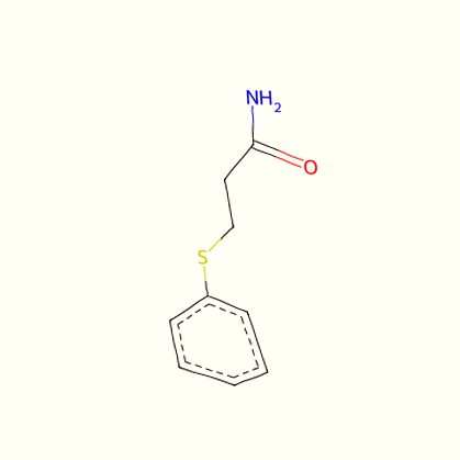 NC(=O)CCSc1ccccc1